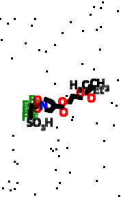 CCC(C)(C)C(=O)OCCCOC(=O)C1CCN(S(=O)(=O)C(F)(F)C(F)(F)C(F)(F)S(=O)(=O)O)CC1